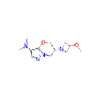 COC1CN(C2COc3c(N(C)C)cnn3C2)C1